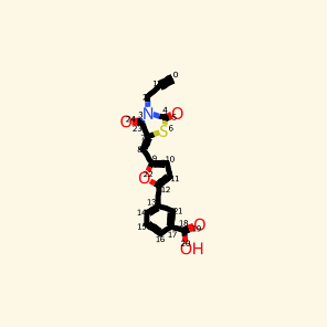 C#CCN1C(=O)S/C(=C\c2ccc(-c3cccc(C(=O)O)c3)o2)C1=O